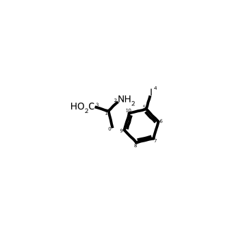 CC(N)C(=O)O.Ic1ccccc1